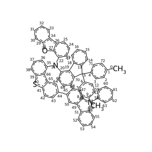 Cc1ccc(C2(c3ccc(C)cc3)c3ccccc3-c3c(N(c4cccc5c4oc4ccccc45)c4cccc5sc6ccc(-c7ccc8c(c7)c7ccccc7n8-c7ccccc7)cc6c45)cccc32)cc1